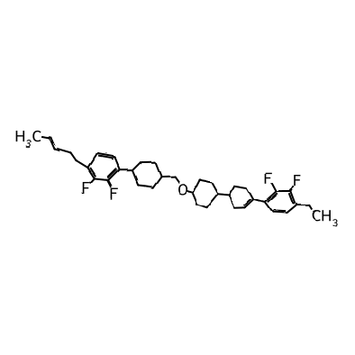 CCCCCc1ccc(C2CCC(COC3CCC(C4CC=C(c5ccc(CC)c(F)c5F)CC4)CC3)CC2)c(F)c1F